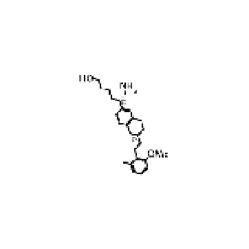 COc1cccc(C)c1CC[C@@H]1CCc2cc([C@@H](CN)CCCCO)ccc2C1